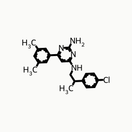 Cc1cc(C)cc(-c2cc(NCC(C)c3ccc(Cl)cc3)nc(N)n2)c1